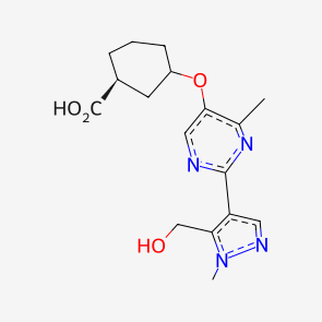 Cc1nc(-c2cnn(C)c2CO)ncc1OC1CCC[C@H](C(=O)O)C1